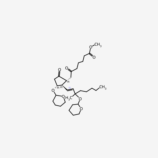 CCCCCC(C)(/C=C/[C@H]1[C@H](OC2CCCCO2)CC(=O)[C@@H]1CC(=O)CCCCC(=O)OC)OC1CCCCO1